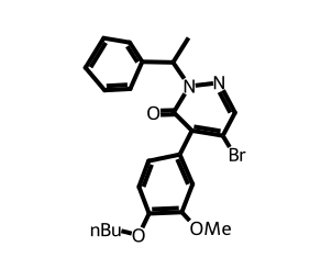 CCCCOc1ccc(-c2c(Br)cnn(C(C)c3ccccc3)c2=O)cc1OC